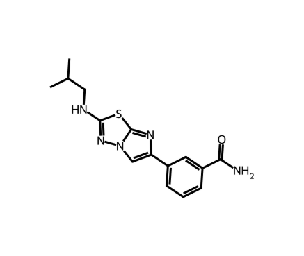 CC(C)CNc1nn2cc(-c3cccc(C(N)=O)c3)nc2s1